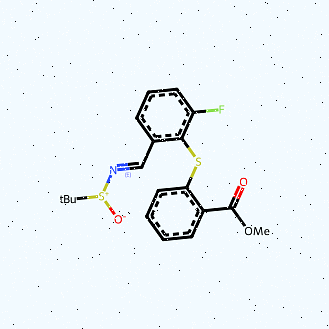 COC(=O)c1ccccc1Sc1c(F)cccc1/C=N/[S+]([O-])C(C)(C)C